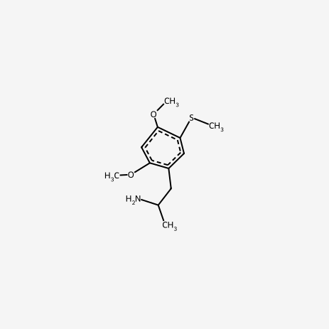 COc1cc(OC)c(SC)cc1CC(C)N